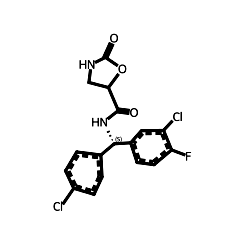 O=C1NCC(C(=O)N[C@@H](c2ccc(Cl)cc2)c2ccc(F)c(Cl)c2)O1